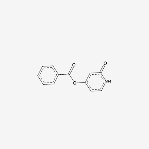 O=C(Oc1cc[nH]c(=O)c1)c1ccccc1